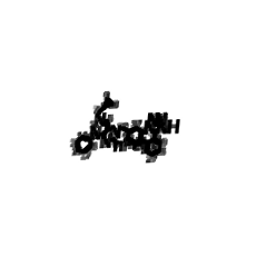 CCCCCC1N=C2C(=CN(CC3CC3)CN2c2ccccc2)N1Cc1ccc(-c2ccccc2-c2nnn[nH]2)cc1